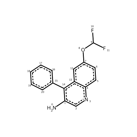 Nc1cnc2ccc(OC(F)F)cc2c1-c1ccccc1